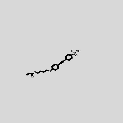 C=CC(=O)OCCCCOc1ccc(C#Cc2ccc(S(=O)(=O)O)cc2)cc1